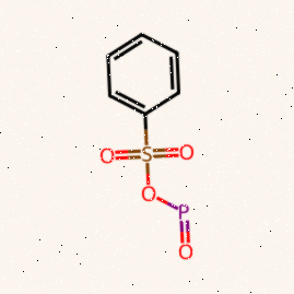 O=POS(=O)(=O)c1ccccc1